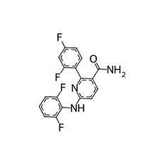 NC(=O)c1ccc(Nc2c(F)cccc2F)nc1-c1ccc(F)cc1F